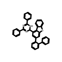 c1ccc(C2=NC(c3cc(-c4ccccc4-c4ccccc4)cc4sc5ccccc5c34)NC(c3ccccc3)=N2)cc1